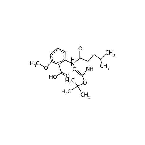 COc1cccc(NC(=O)C(CC(C)C)NC(=O)OC(C)(C)C)c1C(=O)O